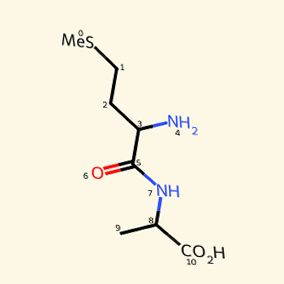 CSCCC(N)C(=O)NC(C)C(=O)O